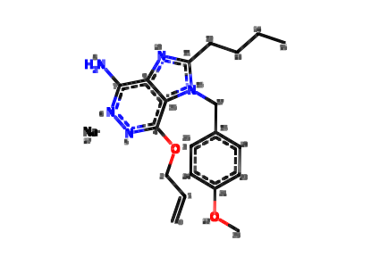 C=CCOc1nnc(N)c2nc(CCCC)n(Cc3ccc(OC)cc3)c12.[Na]